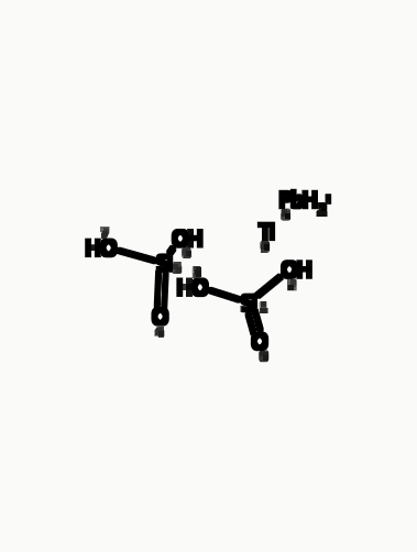 O=[Si](O)O.O=[Si](O)O.[PbH2].[Ti]